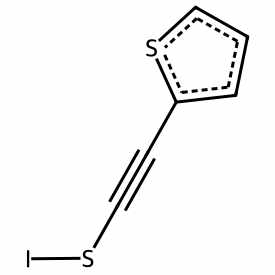 ISC#Cc1cccs1